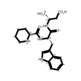 O=C(O)C[C@H](NC(=O)[C@H](Cc1c[nH]c2ccccc12)NC(=O)[C@@H]1CCCCN1)C(=O)O